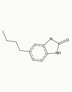 O=C1[N]c2cc(CCCI)ccc2N1